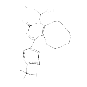 CC(C)n1c2c(c(-c3ccc(C(F)(F)F)cc3)nc1=O)CCCCCCCC2